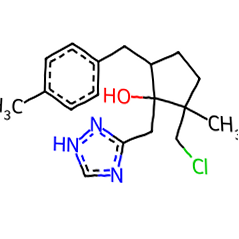 Cc1ccc(CC2CCC(C)(CCl)C2(O)Cc2nc[nH]n2)cc1